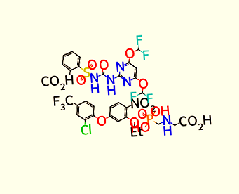 CCOc1cc(Oc2ccc(C(F)(F)F)cc2Cl)ccc1[N+](=O)[O-].O=C(Nc1nc(OC(F)F)cc(OC(F)F)n1)NS(=O)(=O)c1ccccc1C(=O)O.O=C(O)CNCP(=O)(O)O